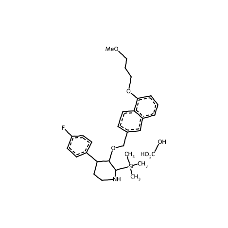 COCCCOc1cccc2cc(COC3C(c4ccc(F)cc4)CCNC3[Si](C)(C)C)ccc12.O=C(O)O